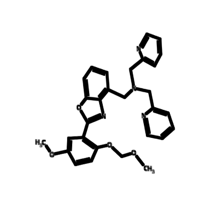 COCOc1ccc(OC)cc1-c1nc2c(CN(Cc3ccccn3)Cc3ccccn3)cccc2o1